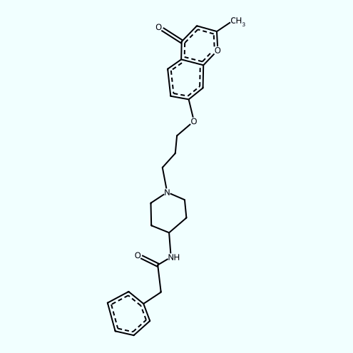 Cc1cc(=O)c2ccc(OCCCN3CCC(NC(=O)Cc4ccccc4)CC3)cc2o1